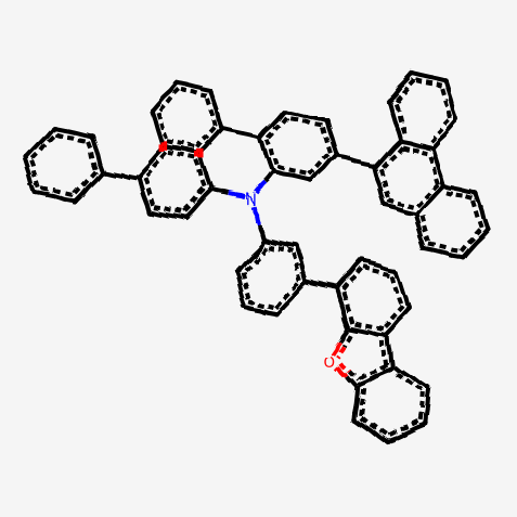 c1ccc(-c2ccc(N(c3cccc(-c4cccc5c4oc4ccccc45)c3)c3cc(-c4cc5ccccc5c5ccccc45)ccc3-c3ccccc3)cc2)cc1